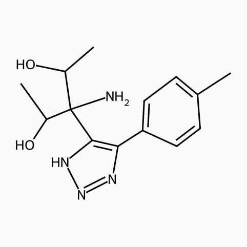 Cc1ccc(-c2nn[nH]c2C(N)(C(C)O)C(C)O)cc1